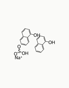 O=S([O-])O.Oc1cccc2ccccc12.Oc1cccc2ccccc12.[Na+]